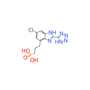 O=P(O)(O)CCCc1cc(Cl)cc2[nH]c(-c3nnn[nH]3)nc12